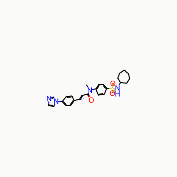 CN(C(=O)/C=C/c1ccc(-n2ccnc2)cc1)c1ccc(S(=O)(=O)NC2CCCCCC2)cc1